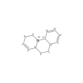 C1=CC2CCC3C=CCCN3C2C=C1